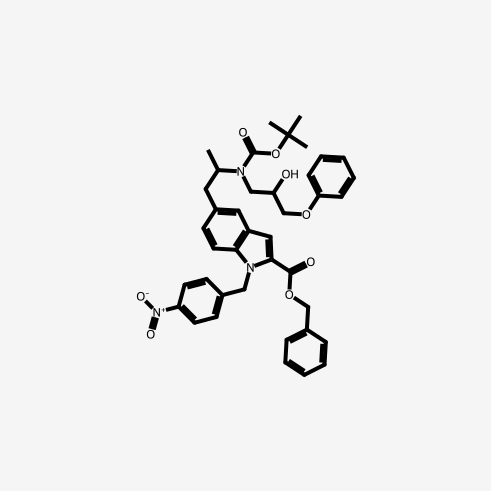 CC(Cc1ccc2c(c1)cc(C(=O)OCc1ccccc1)n2Cc1ccc([N+](=O)[O-])cc1)N(CC(O)COc1ccccc1)C(=O)OC(C)(C)C